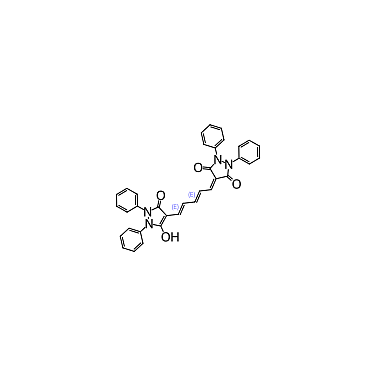 O=C1C(=C/C=C/C=C/c2c(O)n(-c3ccccc3)n(-c3ccccc3)c2=O)C(=O)N(c2ccccc2)N1c1ccccc1